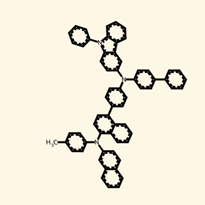 Cc1ccc(N(c2ccc3ccccc3c2)c2ccc(-c3ccc(N(c4ccc(-c5ccccc5)cc4)c4ccc5c(c4)c4ccccc4n5-c4ccccc4)cc3)c3ccccc23)cc1